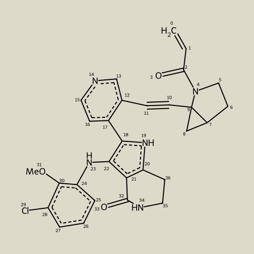 C=CC(=O)N1CCC2CC21C#Cc1cnccc1-c1[nH]c2c(c1Nc1cccc(Cl)c1OC)C(=O)NCC2